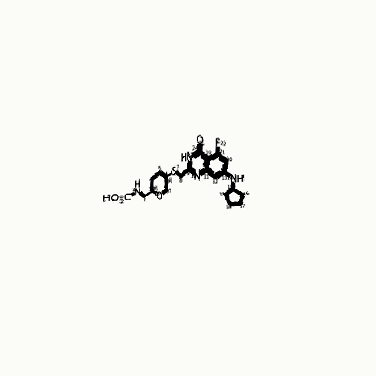 O=C(O)NC[C@H]1CC[C@@H](SCc2nc3cc(NC4CCCC4)cc(F)c3c(=O)[nH]2)CO1